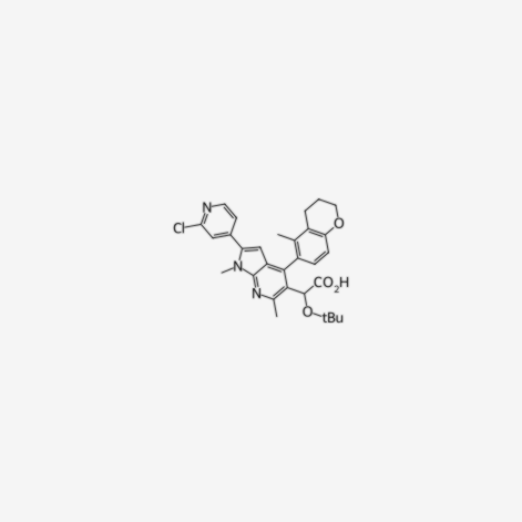 Cc1nc2c(cc(-c3ccnc(Cl)c3)n2C)c(-c2ccc3c(c2C)CCCO3)c1C(OC(C)(C)C)C(=O)O